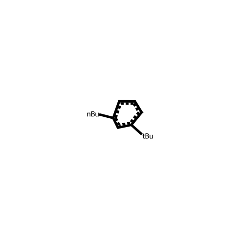 CCCCc1cc[c]c(C(C)(C)C)c1